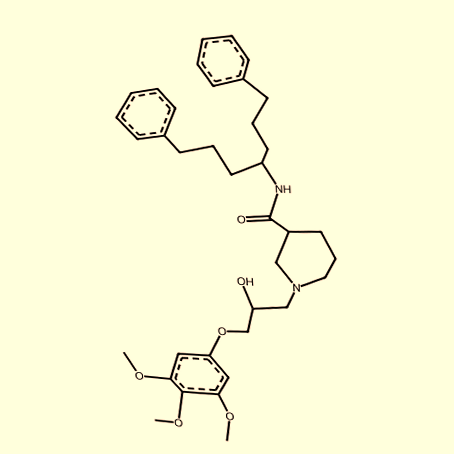 COc1cc(OCC(O)CN2CCCC(C(=O)NC(CCCc3ccccc3)CCCc3ccccc3)C2)cc(OC)c1OC